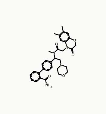 Cc1cc2c(cc1C)N(CC(=O)N(C)C(CN1CCOCC1)c1ccc(-c3ccccc3C(N)=O)cc1)C(=O)CO2